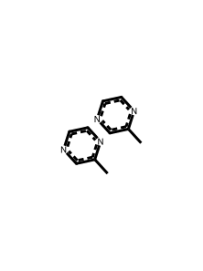 Cc1cnccn1.Cc1cnccn1